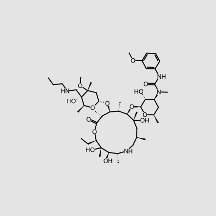 CCCNC[C@]1(O)[C@H](C)O[C@@H](O[C@H]2[C@H](C)[C@@H](O[C@@H]3O[C@H](C)C[C@H](N(C)C(=O)Nc4cccc(OC)c4)[C@H]3O)[C@](C)(O)C[C@@H](C)CN[C@H](C)[C@@H](O)[C@](C)(O)[C@@H](CC)OC(=O)[C@@H]2C)C[C@@]1(C)OC